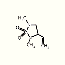 C=CC1CN(C)S(=O)(=O)N1C